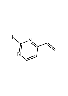 C=Cc1ccnc(I)n1